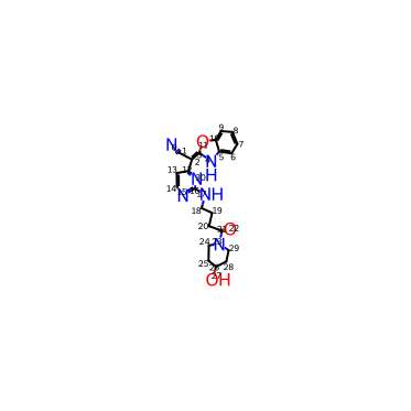 N#C/C(=C1/Nc2ccccc2O1)c1ccnc(NCCCC(=O)N2CCC(O)CC2)n1